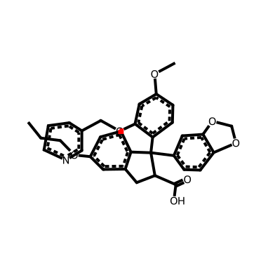 CCCOc1ccc2c(c1)CC(C(=O)O)C2(c1ccc2c(c1)OCO2)c1ccc(OC)cc1OCc1cccnc1